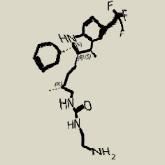 C[C@H](CC[C@@H]1[C@H](C)c2cc(C(F)(F)F)ccc2N[C@H]1C1C=CC=CC1)CNC(=O)NCCN